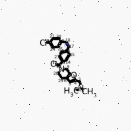 CN(C)Cc1cc2c(o1)CN(C(=O)c1ccc(/C=C\c3ccc(Cl)cc3)cc1)CC2